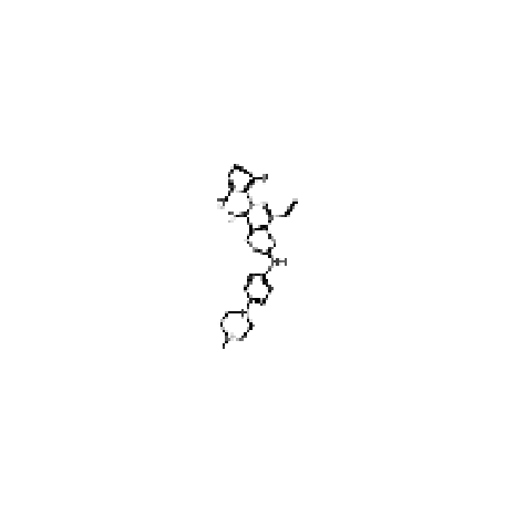 C=Cc1cn(-c2c(F)cccc2Cl)c(=O)c2cnc(Nc3ccc(N4CCN(C)CC4)cc3)nc12